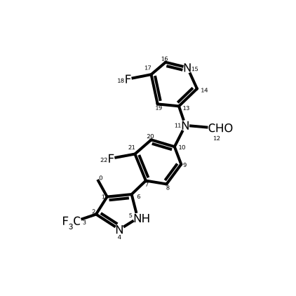 Cc1c(C(F)(F)F)n[nH]c1-c1ccc(N(C=O)c2cncc(F)c2)cc1F